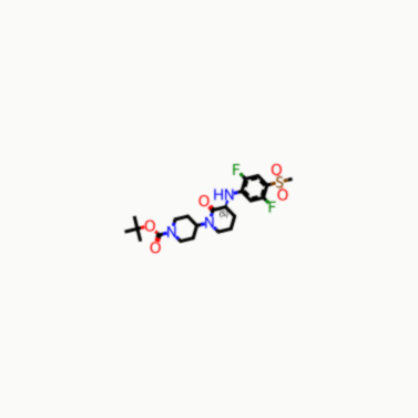 CC(C)(C)OC(=O)N1CCC(N2CCC[C@H](Nc3cc(F)c(S(C)(=O)=O)cc3F)C2=O)CC1